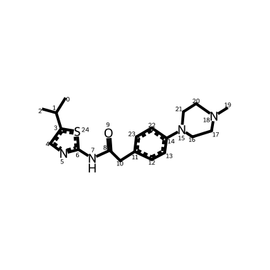 CC(C)c1cnc(NC(=O)Cc2ccc(N3CCN(C)CC3)cc2)s1